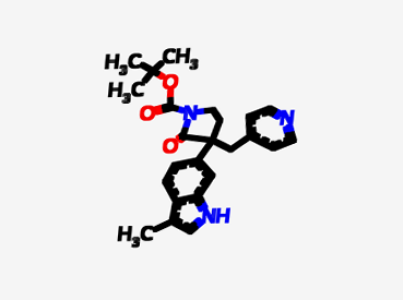 Cc1c[nH]c2cc(C3(Cc4ccncc4)CCN(C(=O)OC(C)(C)C)C3=O)ccc12